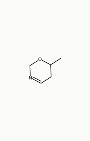 CC1CC=NCO1